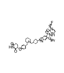 CC(C)Oc1cc2nn(C3CCC(CN4CCCCC4Cc4ccc(OC5CCC(=O)NC5=O)cc4)CC3)cc2cc1C(=O)Nc1cccn([C@H]2C[C@H]2F)c1=O